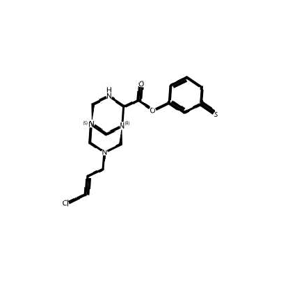 O=C(OC1=CC(=S)CC=C1)C1NC[N@]2CN(CC=CCl)C[N@@]1C2